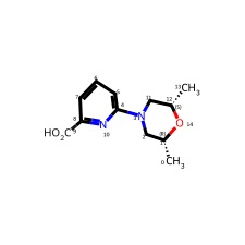 C[C@@H]1CN(c2cccc(C(=O)O)n2)C[C@H](C)O1